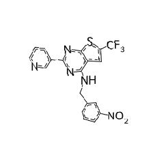 O=[N+]([O-])c1cccc(CNc2nc(-c3cccnc3)nc3sc(C(F)(F)F)cc23)c1